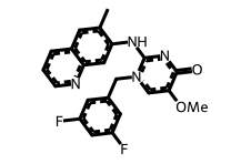 COc1cn(Cc2cc(F)cc(F)c2)c(Nc2cc3ncccc3cc2C)nc1=O